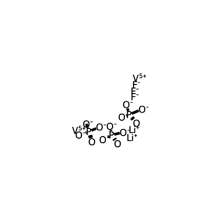 O=P([O-])([O-])[O-].O=P([O-])([O-])[O-].O=P([O-])([O-])[O-].[F-].[F-].[F-].[Li+].[Li+].[V+5].[V+5]